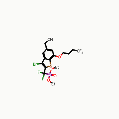 CCOP(=O)(OCC)C(F)(F)c1sc2c(OCCCC(F)(F)F)cc(CC#N)cc2c1Br